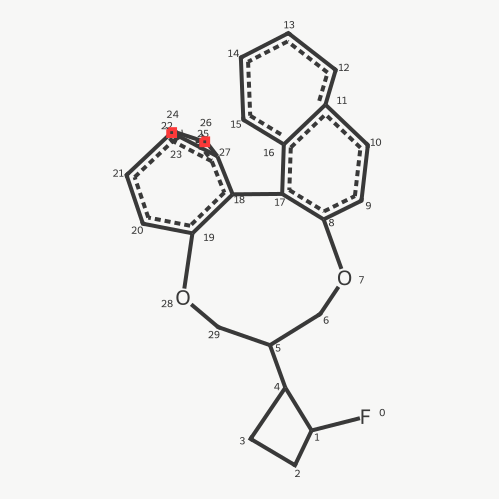 FC1CCC1C1COc2ccc3ccccc3c2-c2c(ccc3ccccc23)OC1